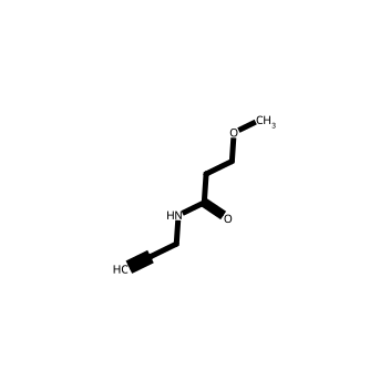 C#CCNC(=O)CCOC